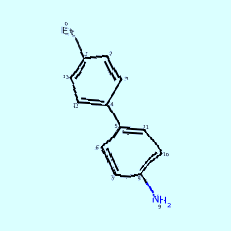 CCc1ccc(-c2ccc(N)cc2)cc1